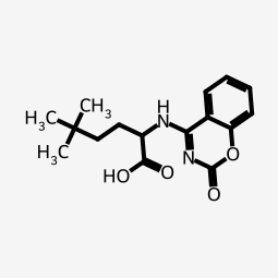 CC(C)(C)CCC(Nc1nc(=O)oc2ccccc12)C(=O)O